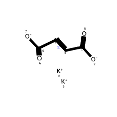 O=C([O-])/C=C/C(=O)[O-].[K+].[K+]